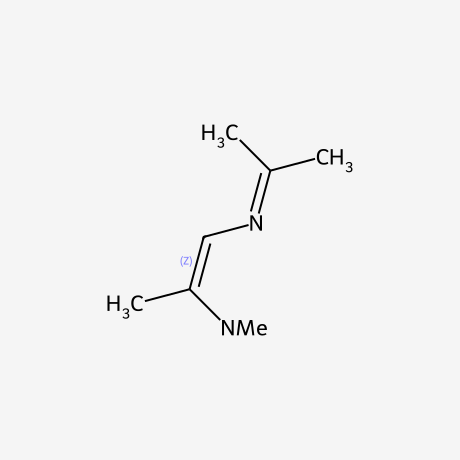 CN/C(C)=C\N=C(C)C